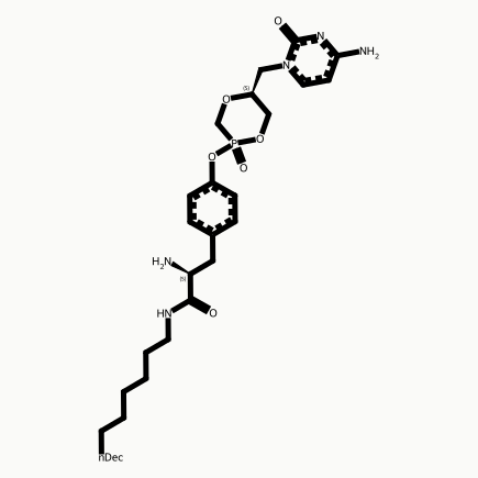 CCCCCCCCCCCCCCCCNC(=O)[C@@H](N)Cc1ccc(OP2(=O)CO[C@@H](Cn3ccc(N)nc3=O)CO2)cc1